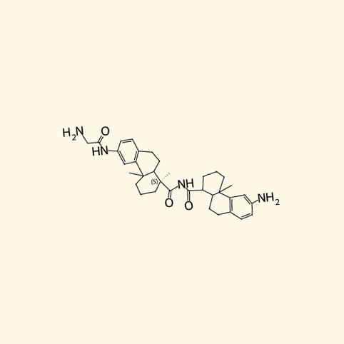 CC12CCCC(C(=O)NC(=O)[C@@]3(C)CCCC4(C)c5cc(NC(=O)CN)ccc5CCC43)C1CCc1ccc(N)cc12